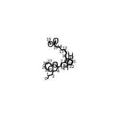 CCCCCC(C=CC1C(C/C=C\CCCC(=O)OC)[C@H]2C=C[C@H]1C2)OC1CCCCO1